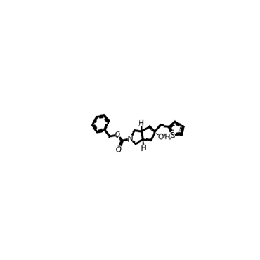 O=C(OCc1ccccc1)N1C[C@@H]2C[C@@](O)(Cc3cccs3)C[C@@H]2C1